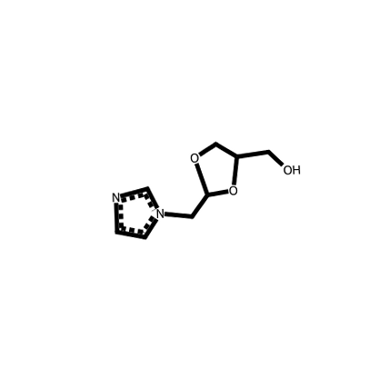 OCC1COC(Cn2ccnc2)O1